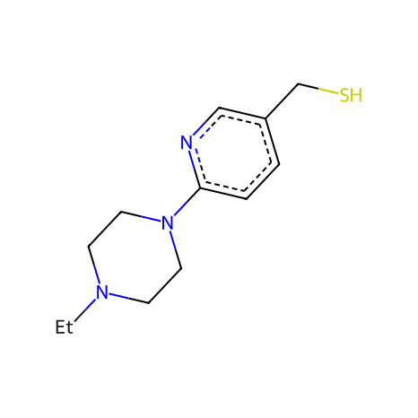 CCN1CCN(c2ccc(CS)cn2)CC1